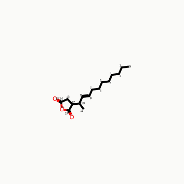 CCCCCCCCC=CC(C)C1CC(=O)OC1=O